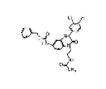 CC(=O)NCCn1c(=O)c(-c2ccc(Cl)c(Cl)c2)nc2cc(NC(=O)OCc3ccccc3)ccc21